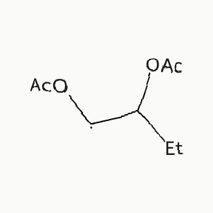 CCC([CH]OC(C)=O)OC(C)=O